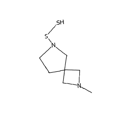 CN1CC2(CCN(SS)C2)C1